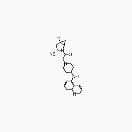 N#C[C@@H]1C[C@@H]2CC2N1C(=O)CN1CCC(Nc2cccc3ncccc23)CC1